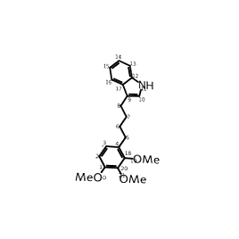 COc1c[c]c(CCCCc2c[nH]c3ccccc23)c(OC)c1OC